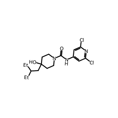 CCC(CC)CC1(O)CCN(C(=O)Nc2cc(Cl)nc(Cl)c2)CC1